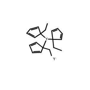 CC[C]1([Y]([C]2(CC)C=CC=C2)[C]2(CC)C=CC=C2)C=CC=C1.[Y]